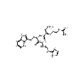 N=C(N)NCCCN(CC(=O)O)C(=O)CN(CCc1c[nH]c2ccccc12)C(=O)CNCCc1ncc[nH]1